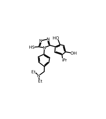 CCN(CC)Cc1ccc(-n2c(S)nnc2-c2cc(C(C)C)c(O)cc2O)cc1